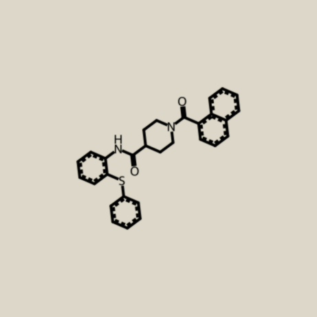 O=C(Nc1ccccc1Sc1ccccc1)C1CCN(C(=O)c2cccc3ccccc23)CC1